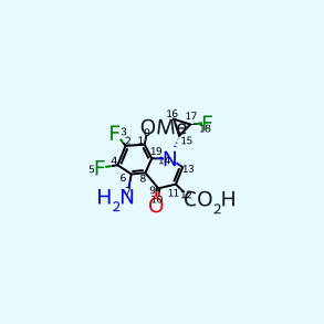 COc1c(F)c(F)c(N)c2c(=O)c(C(=O)O)cn([C@@H]3C[C@H]3F)c12